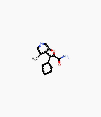 Cc1cncc2oc(C(N)=O)c(-c3ccccc3)c12